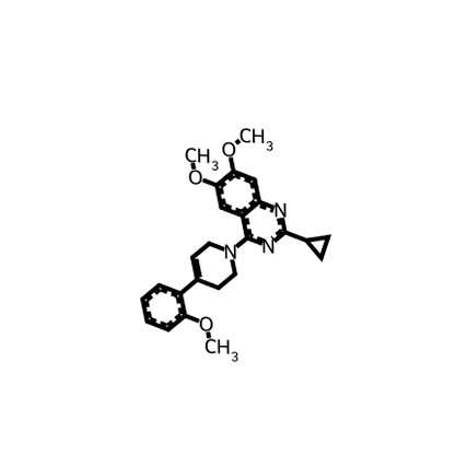 COc1cc2nc(C3CC3)nc(N3CC=C(c4ccccc4OC)CC3)c2cc1OC